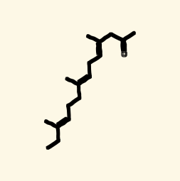 CC/C(C)=C/CC/C(C)=C/C/C=C(\C)CC(C)=O